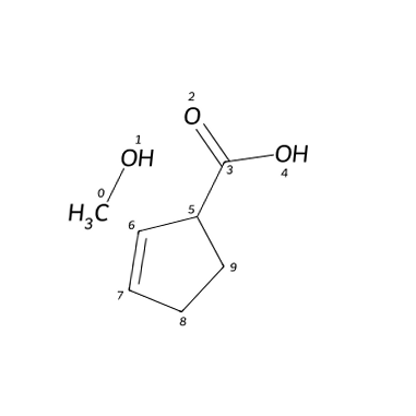 CO.O=C(O)C1C=CCC1